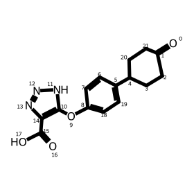 O=C1CCC(c2ccc(Oc3[nH]nnc3C(=O)O)cc2)CC1